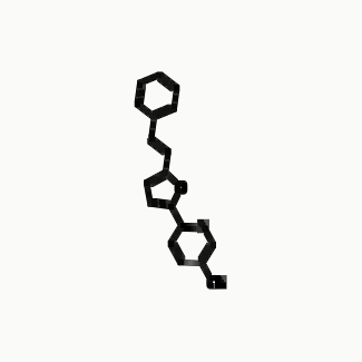 N#Cc1ccc(-c2ccc(/C=C/c3ccccc3)o2)nc1